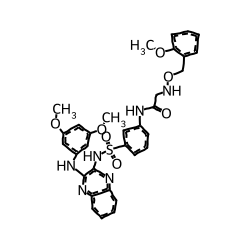 COc1cc(Nc2nc3ccccc3nc2NS(=O)(=O)c2cccc(NC(=O)CNOCc3ccccc3OC)c2)cc(OC)c1